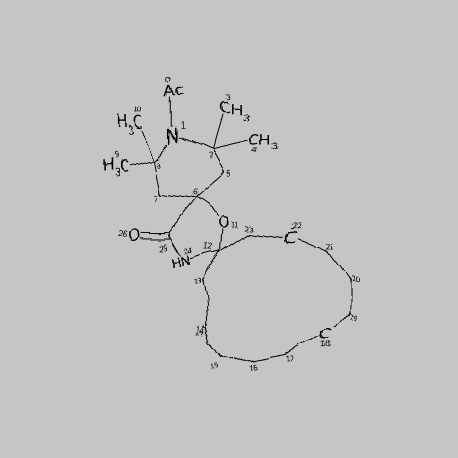 CC(=O)N1C(C)(C)CC2(CC1(C)C)OC1(CCCCCCCCCCC1)NC2=O